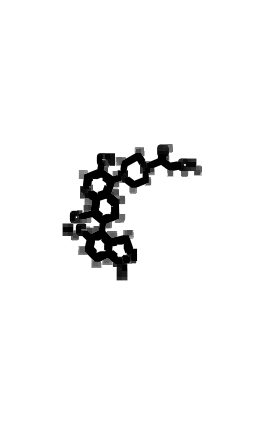 C=CC(=O)N1CCN(c2c(C#N)cnc3c(Cl)c(-c4c(C)ccc5[nH]ncc45)ccc23)CC1